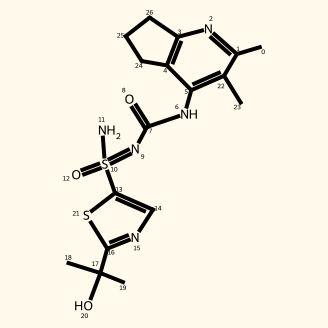 Cc1nc2c(c(NC(=O)N=S(N)(=O)c3cnc(C(C)(C)O)s3)c1C)CCC2